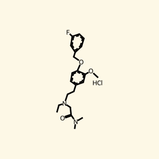 CCN(CCc1ccc(OCc2cccc(F)c2)c(OC)c1)CC(=O)N(C)C.Cl